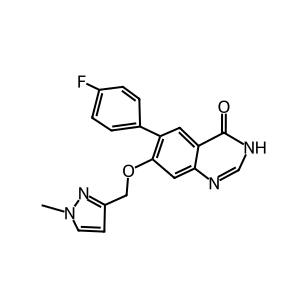 Cn1ccc(COc2cc3nc[nH]c(=O)c3cc2-c2ccc(F)cc2)n1